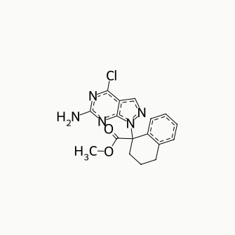 COC(=O)C1(n2ncc3c(Cl)nc(N)nc32)CCCc2ccccc21